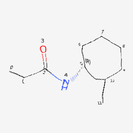 CCC(=O)N[C@@H]1CCCCC1C